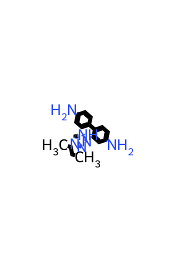 CCCC.Nc1ccc(-c2ccc(N)cc2)cc1.c1nnn[nH]1